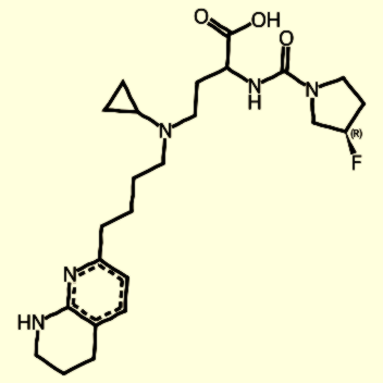 O=C(O)C(CCN(CCCCc1ccc2c(n1)NCCC2)C1CC1)NC(=O)N1CC[C@@H](F)C1